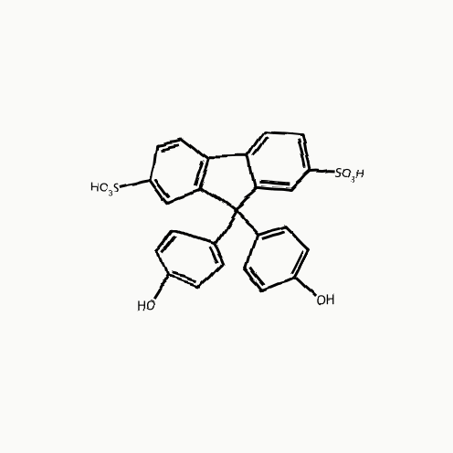 O=S(=O)(O)c1ccc2c(c1)C(c1ccc(O)cc1)(c1ccc(O)cc1)c1cc(S(=O)(=O)O)ccc1-2